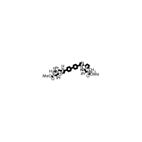 CCC[C@@H](c1ncc(-c2ccc(-c3ccc(-c4cnc([C@@H]5CC[C@H](C)N5C(=O)[C@@H](NC(=O)OC)C(C)C)[nH]4)cc3)cc2)[nH]1)N(C)C(=O)[C@@H](NC(=O)OC)C(C)C